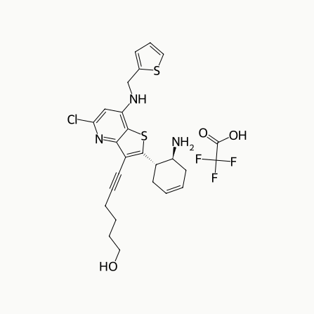 N[C@H]1CC=CC[C@@H]1c1sc2c(NCc3cccs3)cc(Cl)nc2c1C#CCCCCO.O=C(O)C(F)(F)F